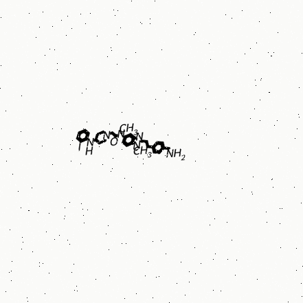 CN(C(=O)CN1CCC(Nc2ccccc2I)CC1)c1ccc2c(c1)nc(CCc1ccc(CN)cc1)n2C